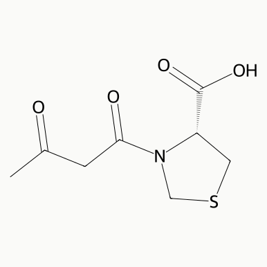 CC(=O)CC(=O)N1CSC[C@H]1C(=O)O